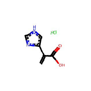 C=C(C(=O)O)c1c[nH]cn1.Cl